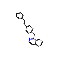 C(=Cc1ccc(Cc2nccc3ccccc23)cc1)c1ccccc1